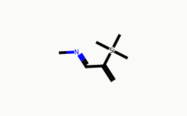 C=C(/C=N/C)[Si](C)(C)C